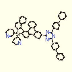 c1ccc(-c2ccc(-c3nc(-c4ccc(-c5ccccc5)cc4)nc(-c4ccc5c(c4)c4ccccc4c4c6c(ccc54)[Si](c4cccnc4)(c4cccnc4)c4ccc5ccccc5c4-6)n3)cc2)cc1